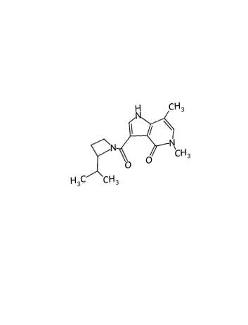 Cc1cn(C)c(=O)c2c(C(=O)N3CCC3C(C)C)c[nH]c12